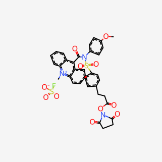 COc1ccc(N(C(=O)c2c3ccccc3[n+](C)c3ccccc23)S(=O)(=O)c2ccc(CCC(=O)ON3C(=O)CCC3=O)cc2)cc1.O=S(=O)([O-])F